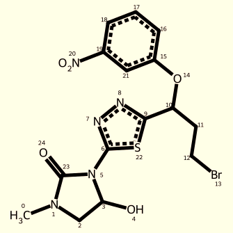 CN1CC(O)N(c2nnc(C(CCBr)Oc3cccc([N+](=O)[O-])c3)s2)C1=O